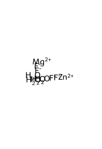 O.O.O.O.[F-].[F-].[F-].[F-].[Mg+2].[Zn+2]